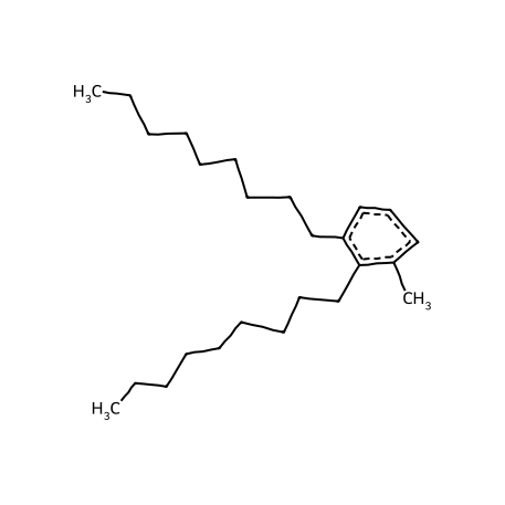 CCCCCCCCCc1cccc(C)c1CCCCCCCCC